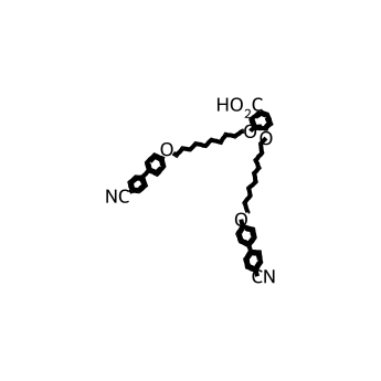 N#Cc1ccc(-c2ccc(OCCCCCCCCCCOc3ccc(C(=O)O)cc3OCCCCCCCCCCOc3ccc(-c4ccc(C#N)cc4)cc3)cc2)cc1